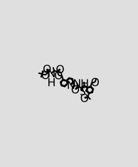 COCc1ccc(C(C)=O)c2sc(C(=O)Nc3ccc4c(COC(=O)C(C)NC(=O)OC(C)(C)C)cccc4n3)c(C)c12